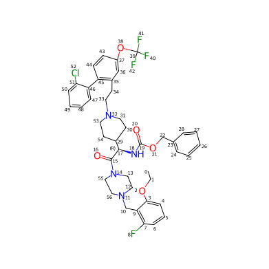 CCOc1cccc(F)c1CN1CCN(C(=O)[C@H](NC(=O)OCc2ccccc2)C2CCN(CCc3cc(OC(F)(F)F)ccc3-c3ccccc3Cl)CC2)CC1